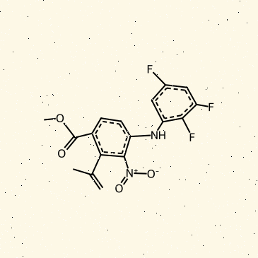 C=C(C)c1c(C(=O)OC)ccc(Nc2cc(F)cc(F)c2F)c1[N+](=O)[O-]